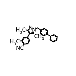 Cc1cc(-c2c(C)nn(Cc3ccc(-c4ccccc4)cc3)c2C)ccc1C#N